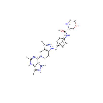 Cc1nc(N2CCc3c(c(C)nn3CC34CCC(NC(=O)[C@H]5COCCN5)(CC3)CC4)C2)c2c(n1)c(C)nn2C